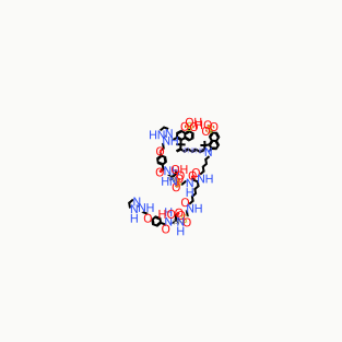 C=C(/C=C/C=C/C=C1/N(CCCCCC(=O)NC(CCCCCC(=O)NCCS(=O)(=O)N[C@@H](CNC(=O)c2ccc(OCCNC3=NCCCN3)cc2)C(=O)O)C(=O)NCCS(=O)(=O)N[C@@H](CNC(=O)c2ccc(OCCNC3=NCCCN3)cc2)C(=O)O)c2ccc3ccc(S(=O)(=O)O)cc3c2C1(C)C)C(C)(C)c1c(C)ccc2c(S(=O)(=O)O)cccc12